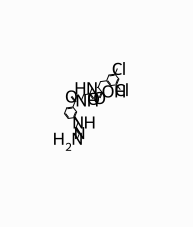 NN=CNc1cccc(C(=O)NCC(=O)NC(Cc2cc(Cl)cc(Cl)c2)C(=O)O)c1